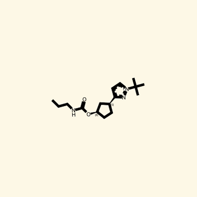 CCCNC(=O)O[C@@H]1CC[C@H](c2ccn(C(C)(C)C)n2)C1